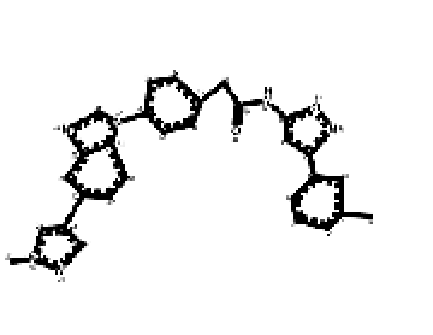 Cc1cccc(-c2cc(NC(=O)Cc3ccc(-n4cnc5cc(-c6cnn(C)c6)ccc54)cc3)on2)c1